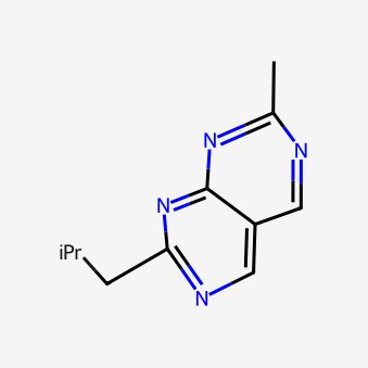 Cc1ncc2cnc(CC(C)C)nc2n1